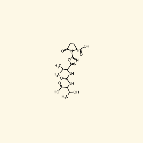 CC(C)C(NC(=O)NC(C(=O)O)C(C)O)c1nnc(N2C(=O)CC[C@@H]2C(=O)O)o1